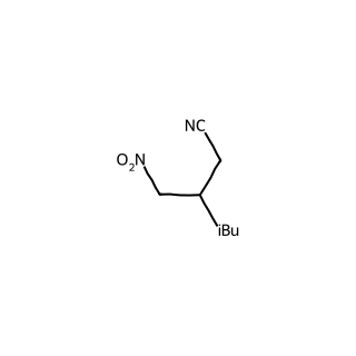 CCC(C)C(CC#N)C[N+](=O)[O-]